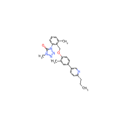 CCCc1ccc(-c2ccc(OCc3c(C)cccc3-n3nnn(C)c3=O)c(C)c2)cn1